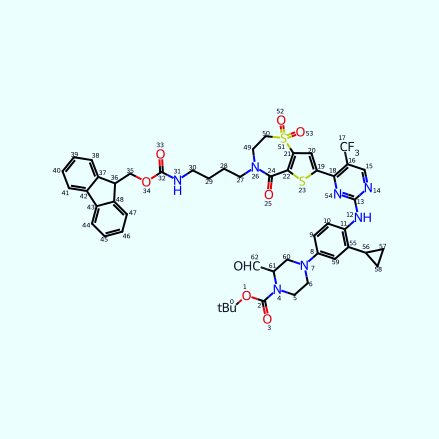 CC(C)(C)OC(=O)N1CCN(c2ccc(Nc3ncc(C(F)(F)F)c(-c4cc5c(s4)C(=O)N(CCCCNC(=O)OCC4c6ccccc6-c6ccccc64)CCS5(=O)=O)n3)c(C3CC3)c2)CC1C=O